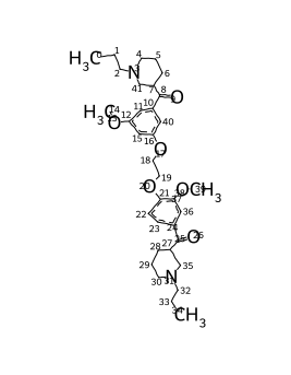 CCCN1CCCC(C(=O)c2cc(OC)cc(OCCOc3ccc(C(=O)C4CCCN(CCC)C4)cc3OC)c2)C1